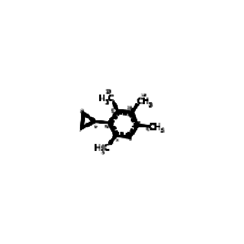 Cc1cc(C)c(C2CC2)c(C)c1C